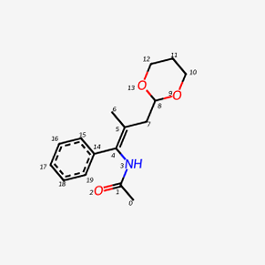 CC(=O)N/C(=C(/C)CC1OCCCO1)c1ccccc1